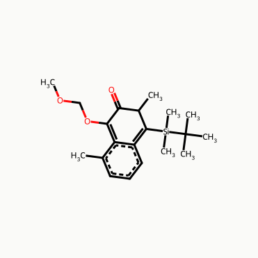 COCOC1=c2c(C)cccc2=C([Si](C)(C)C(C)(C)C)C(C)C1=O